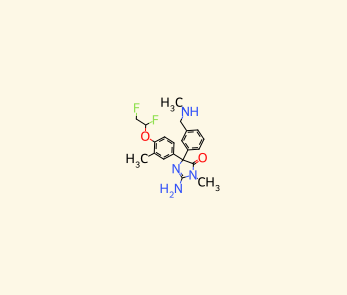 CNCc1cccc(C2(c3ccc(OC(F)CF)c(C)c3)N=C(N)N(C)C2=O)c1